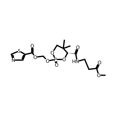 COC(=O)CCNC(=O)[C@@H]1OP(=O)(OCOC(=O)c2cncs2)OCC1(C)C